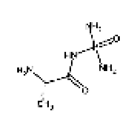 C[C@H](N)C(=O)NP(N)(N)=O